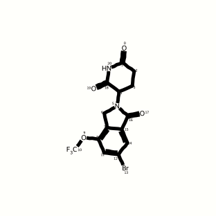 O=C1CCC(N2Cc3c(OC(F)(F)F)cc(Br)cc3C2=O)C(=O)N1